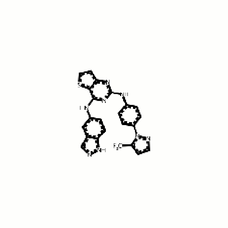 FC(F)(F)c1ccnn1-c1ccc(Nc2nc(Nc3ccc4[nH]ncc4c3)c3sccc3n2)cc1